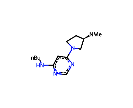 CCCCNc1cc(N2CC[C@@H](NC)C2)ncn1